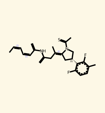 C=C(/C=C\C=C/C)NC(=C)C/C(C)=C1\C[C@@H](c2c(F)ccc(C)c2F)CN1C(C)=S